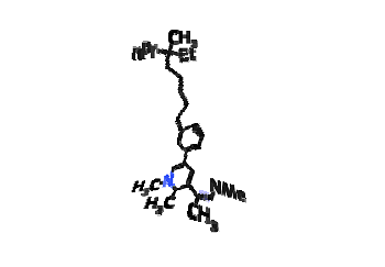 CCCC(C)(CC)CCCCCc1cccc(C2=CN(C)C(C)C(/C(C)=C\NC)=C2)c1